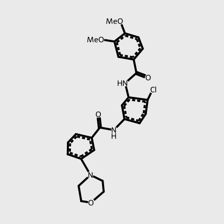 COc1ccc(C(=O)Nc2cc(NC(=O)c3cccc(N4CCOCC4)c3)ccc2Cl)cc1OC